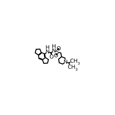 CC(C)N1CCCC(CS(=O)(=O)NC(=O)Nc2c3c(cc4c2CCC4)CCC3)C1